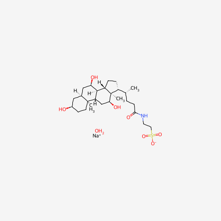 C[C@H](CCC(=O)NCCS(=O)(=O)[O-])[C@H]1CC[C@H]2[C@@H]3[C@H](O)C[C@@H]4C[C@H](O)CC[C@]4(C)[C@H]3C[C@H](O)[C@]12C.O.[Na+]